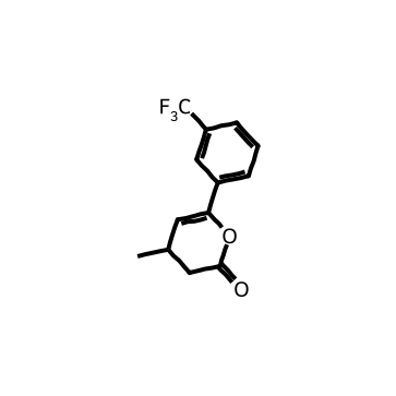 CC1C=C(c2cccc(C(F)(F)F)c2)OC(=O)C1